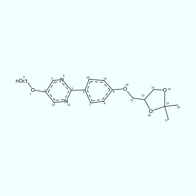 CCCCCCCCOc1cnc(-c2ccc(OCC3COC(C)(C)O3)cc2)nc1